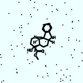 CC[C@]12CC[C@H]3Nc4c[c][c]cc4[C@]34CCN(CCC1(O)C(=O)OC)[C@@H]42